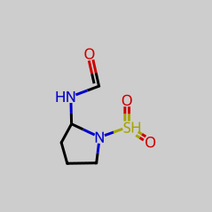 O=CNC1CCCN1[SH](=O)=O